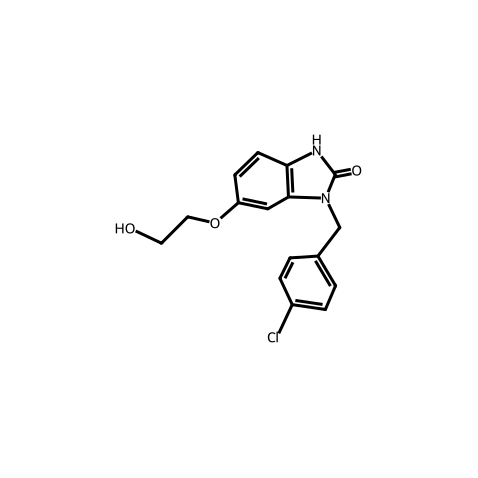 O=c1[nH]c2ccc(OCCO)cc2n1Cc1ccc(Cl)cc1